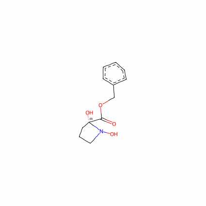 O=C(OCc1ccccc1)[C@]1(O)CCCN1O